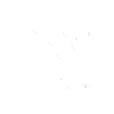 CN1CCCN(c2nc(-c3ccnc(N)c3)cnc2N)CC1.Cl.Cl.Cl